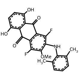 COc1c(F)c2c(c(F)c1Nc1c(C)cccc1C)C(=O)c1c(O)ccc(O)c1C2=O